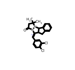 CC1(C)CC(=O)N2/C(=C/c3ccc(Cl)c(Cl)c3)C3Cc4ccccc4C3N21